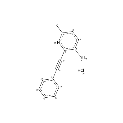 Cc1ccc(N)c(C#Cc2ccccc2)n1.Cl